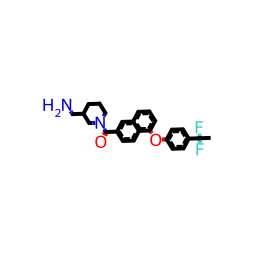 CC(F)(F)c1ccc(Oc2cccc3cc(C(=O)N4CCCC(CN)C4)ccc23)cc1